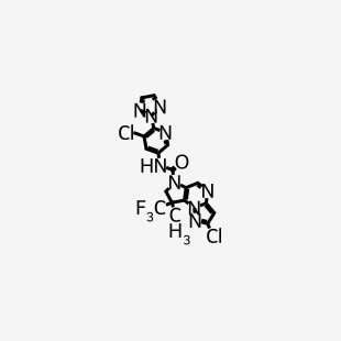 CC1(C(F)(F)F)CN(C(=O)Nc2cnc(-n3nccn3)c(Cl)c2)c2cnc3cc(Cl)nn3c21